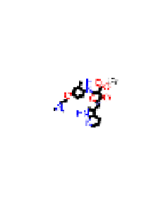 Cc1cc(OCCN(C)C)ccc1NC1=C(C(=O)OC(C)C)C(=O)/C(=C/c2c[nH]c3ncccc23)O1